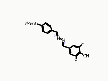 CCCCCc1ccc(/C=N/N=C/c2cc(F)c(C#N)c(F)c2)cc1